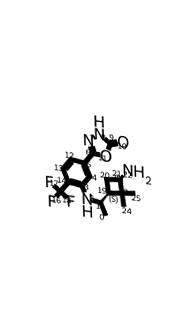 CC(Nc1cc(-c2n[nH]c(=O)o2)ccc1C(F)(F)F)[C@H]1C[C@@H](N)C1(C)C